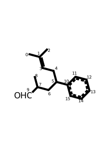 CC(C)=CCC(CC(C)C=O)c1ccccc1